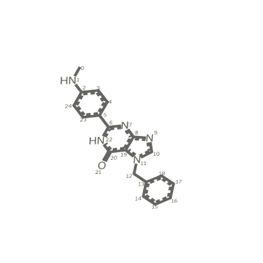 CNc1ccc(-c2nc3ncn(Cc4ccccc4)c3c(=O)[nH]2)cc1